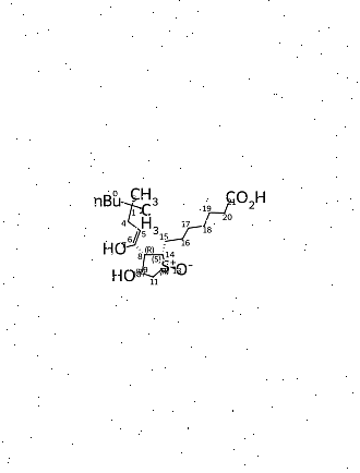 CCCCC(C)(C)CC=C(O)[C@H]1[C@@H](O)C[S@+]([O-])[C@H]1CCCCCCC(=O)O